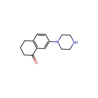 O=C1CCCc2ccc(N3CCNCC3)cc21